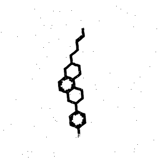 CC=CCCC1CCc2c(ccc3c2CCC(c2ccc(F)cc2)C3)C1